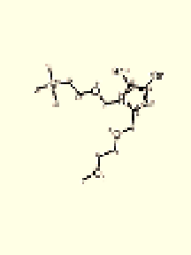 COCCOCc1nc(Br)c(Br)n1COCC[Si](C)(C)C